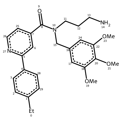 CCc1ccc(-c2cc(C(=O)N(CCCN)Cc3cc(OC)c(OC)c(OC)c3)ccn2)cc1